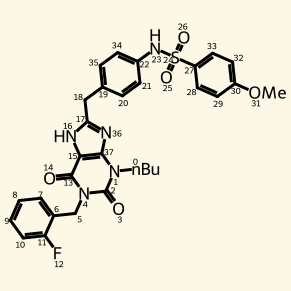 CCCCn1c(=O)n(Cc2ccccc2F)c(=O)c2[nH]c(Cc3ccc(NS(=O)(=O)c4ccc(OC)cc4)cc3)nc21